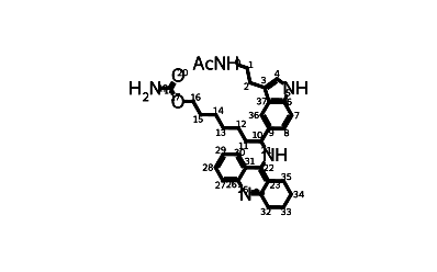 CC(=O)NCCc1c[nH]c2ccc(C(CCCCCCOC(N)=O)Nc3c4c(nc5ccccc35)CCCC4)cc12